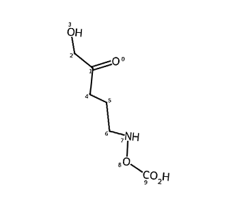 O=C(CO)CCCNOC(=O)O